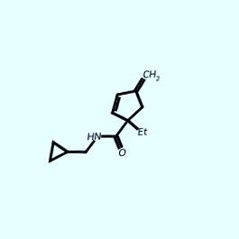 C=C1C=CC(CC)(C(=O)NCC2CC2)C1